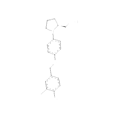 Cc1cc(COc2ccc(N3CCC[C@H]3CC(=O)O)cc2)ccc1Br